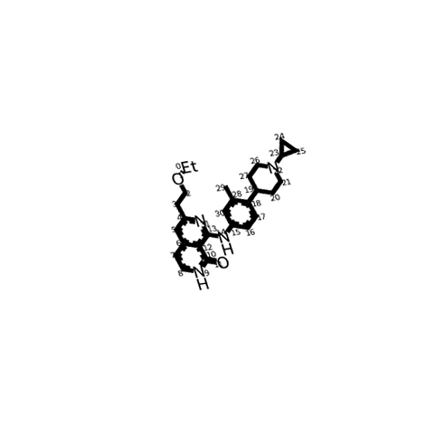 CCOCCc1cc2cc[nH]c(=O)c2c(Nc2ccc(C3CCN(C4CC4)CC3)c(C)c2)n1